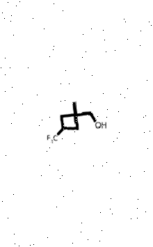 CC1(CO)CC(C(F)(F)F)C1